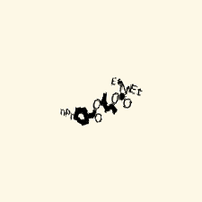 CCCc1ccc(C(=O)OC(C)CC(C)OC(=O)N(CC)CC)cc1